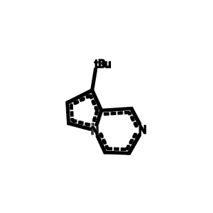 CC(C)(C)c1ccn2ccncc12